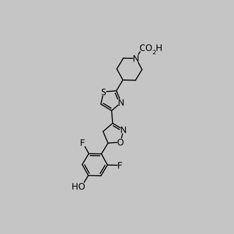 O=C(O)N1CCC(c2nc(C3=NOC(c4c(F)cc(O)cc4F)C3)cs2)CC1